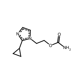 NC(=O)OCCn1ccnc1C1CC1